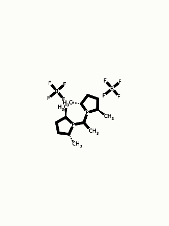 CC(P1[C@H](C)CC[C@H]1C)P1[C@H](C)CC[C@H]1C.F[B-](F)(F)F.F[B-](F)(F)F